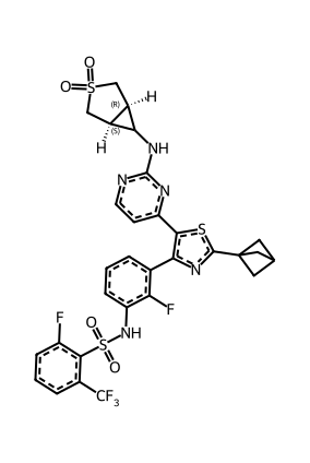 O=S1(=O)C[C@@H]2C(Nc3nccc(-c4sc(C56CC(C5)C6)nc4-c4cccc(NS(=O)(=O)c5c(F)cccc5C(F)(F)F)c4F)n3)[C@@H]2C1